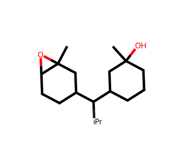 CC(C)C(C1CCCC(C)(O)C1)C1CCC2OC2(C)C1